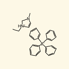 CC[NH+]1C=CN(C)C1.c1ccc([B-](c2ccccc2)(c2ccccc2)c2ccccc2)cc1